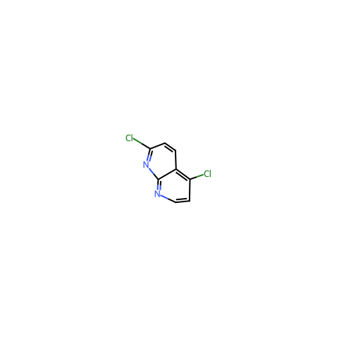 Clc1ccc2c(Cl)ccnc2n1